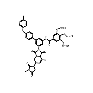 CCCCCCCOc1cc(C(=O)Nc2cc(-c3ccc(Oc4ccc(C)cc4)cc3)cc(N3C(=O)C4CC(C5CC(=O)N(C)C5=O)C=C(C)C4C3=O)c2)cc(OCCCCCC)c1OCCCCCCC